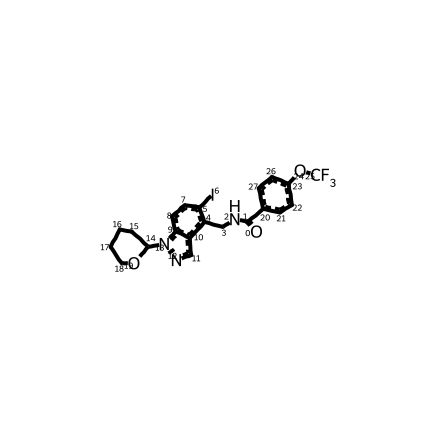 O=C(NCc1c(I)ccc2c1cnn2C1CCCCO1)c1ccc(OC(F)(F)F)cc1